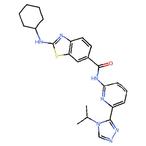 CC(C)n1cnnc1-c1cccc(NC(=O)c2ccc3nc(NC4CCCCC4)sc3c2)n1